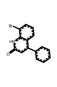 O=c1cc(-c2ccccc2)c2cccc(Br)c2[nH]1